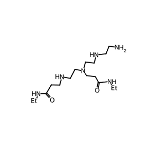 CCNC(=O)CCNCCN(CCNCCN)CCC(=O)NCC